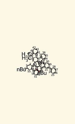 CCCCc1ccc(N2c3cc4c(cc3B3c5c(cc(CCCC)cc52)-c2cc(-c5ccccc5)ccc2N3c2ccccc2)-c2ccccc2C4(C)C)c(-c2ccccc2)c1